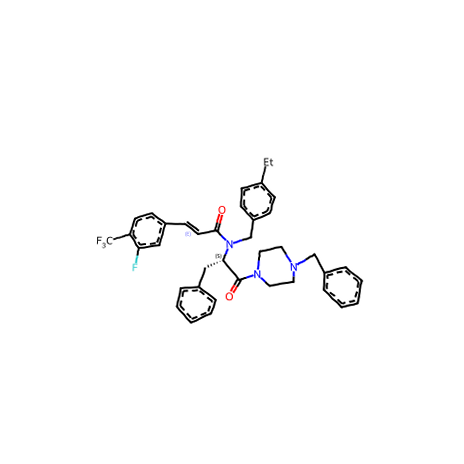 CCc1ccc(CN(C(=O)/C=C/c2ccc(C(F)(F)F)c(F)c2)[C@@H](Cc2ccccc2)C(=O)N2CCN(Cc3ccccc3)CC2)cc1